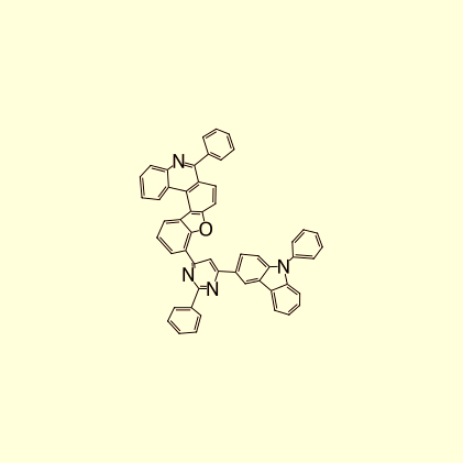 c1ccc(-c2nc(-c3ccc4c(c3)c3ccccc3n4-c3ccccc3)cc(-c3cccc4c3oc3ccc5c(-c6ccccc6)nc6ccccc6c5c34)n2)cc1